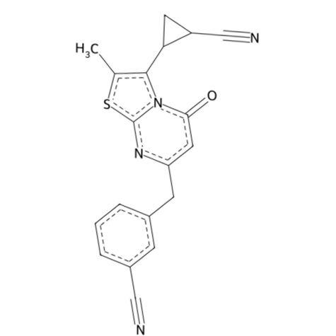 Cc1sc2nc(Cc3cccc(C#N)c3)cc(=O)n2c1C1CC1C#N